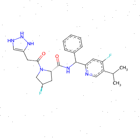 CC(C)c1cnc(C(NC(=O)[C@@H]2C[C@@H](F)CN2C(=O)CC2=CNNN2)c2ccccc2)cc1F